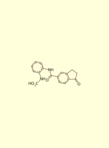 O=C(O)Nc1ccccc1NC(=O)c1ccc2c(c1)CCC2=O